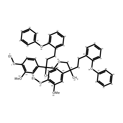 CCOc1ccc(C(C)(CCc2ccccc2Oc2ccccc2)COCC(C)(CCc2ccccc2Oc2ccccc2)c2ccc(OCC)c(OC)c2)cc1OC